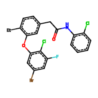 CCc1ccc(CC(=O)Nc2ccccc2Cl)cc1Oc1cc(Br)cc(F)c1Cl